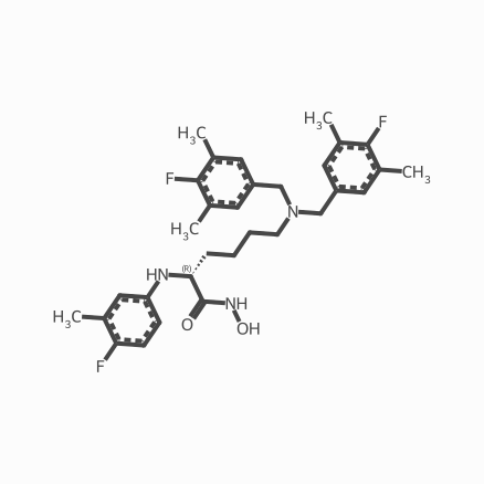 Cc1cc(N[C@H](CCCCN(Cc2cc(C)c(F)c(C)c2)Cc2cc(C)c(F)c(C)c2)C(=O)NO)ccc1F